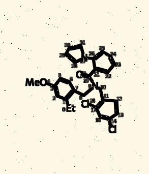 CCc1cc(OC)ccc1CN(Cc1ccc(Cl)cc1Cl)C(=O)c1ccccc1-n1cccc1